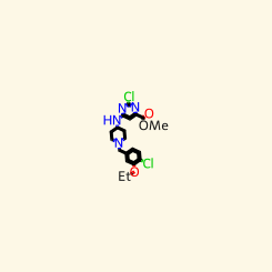 CCOc1cc(CN2CCC(Nc3cc(C(=O)OC)nc(Cl)n3)CC2)ccc1Cl